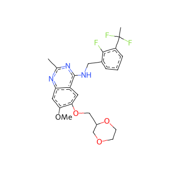 COc1cc2nc(C)nc(NCc3cccc(C(C)(F)F)c3F)c2cc1OCC1COCCO1